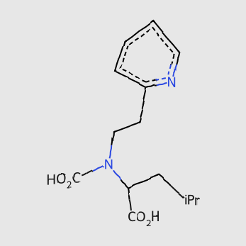 CC(C)CC(C(=O)O)N(CCc1ccccn1)C(=O)O